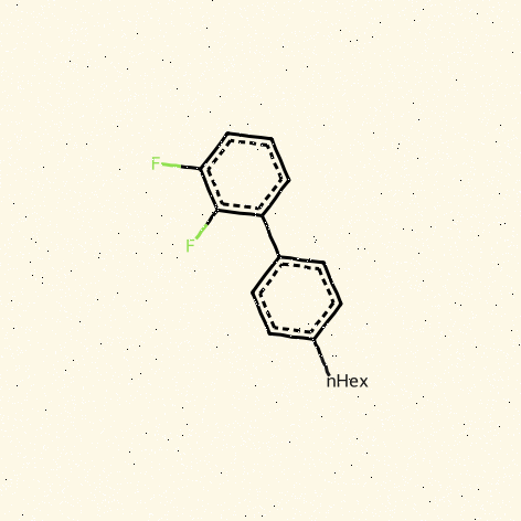 CCCCCCc1ccc(-c2cccc(F)c2F)cc1